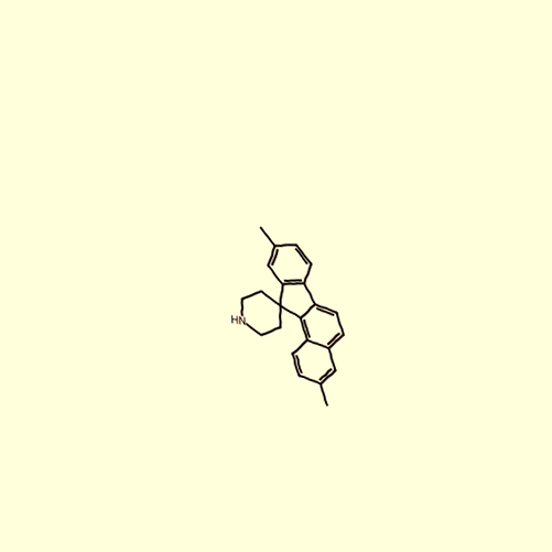 Cc1ccc2c(c1)C1(CCNCC1)c1c-2ccc2cc(C)ccc12